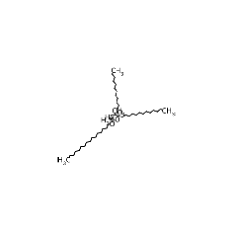 CCCCCCCCCCCCCCCCO[SiH2]OC(CCCCCCCCCCCCC)(OCCCCCCCCCCCC)C(C)S